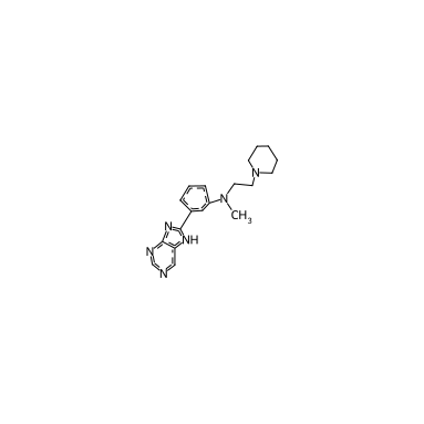 CN(CCN1CCCCC1)c1cccc(-c2nc3ncncc3[nH]2)c1